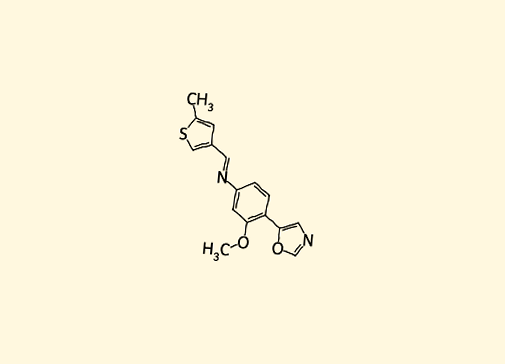 COc1cc(/N=C/c2csc(C)c2)ccc1-c1cnco1